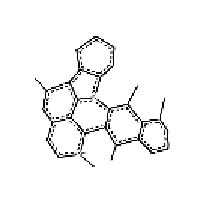 Cc1cccc2c(C)c3c(c(C)c12)n1c2ccccc2c2c(C)cc4cc[n+](C)c3c4c21